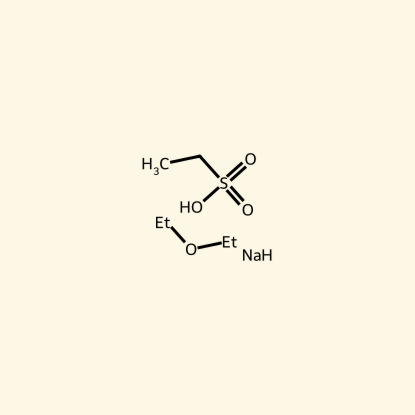 CCOCC.CCS(=O)(=O)O.[NaH]